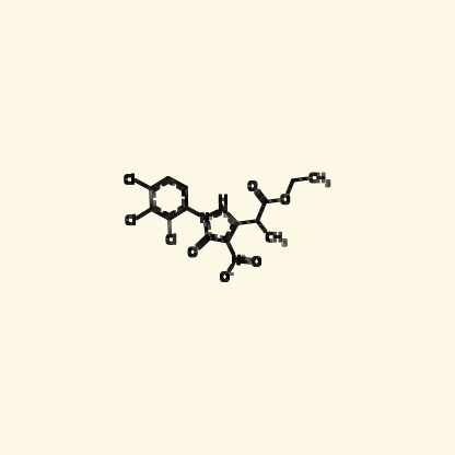 CCOC(=O)C(C)c1[nH]n(-c2ccc(Cl)c(Cl)c2Cl)c(=O)c1[N+](=O)[O-]